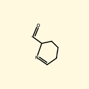 O=[C]C1CCCC=N1